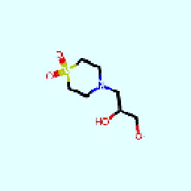 [O]CC(O)CN1CCS(=O)(=O)CC1